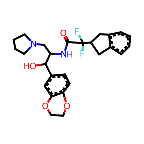 O=C(NC(CN1CCCC1)C(O)c1ccc2c(c1)OCCO2)C(F)(F)C1Cc2ccccc2C1